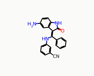 N#Cc1cccc(NC(=C2C(=O)Nc3ccc(N)cc32)c2ccccc2)c1